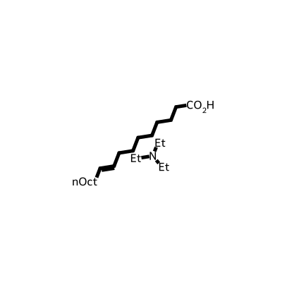 CCCCCCCCC=CCCCCCCCC(=O)O.CCN(CC)CC